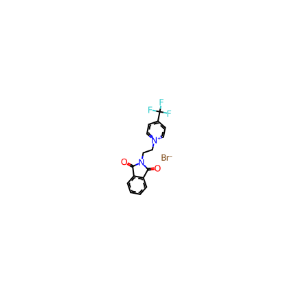 O=C1c2ccccc2C(=O)N1CC[n+]1ccc(C(F)(F)F)cc1.[Br-]